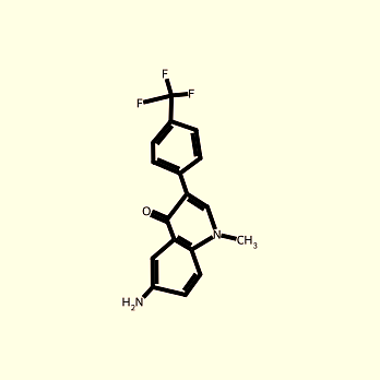 Cn1cc(-c2ccc(C(F)(F)F)cc2)c(=O)c2cc(N)ccc21